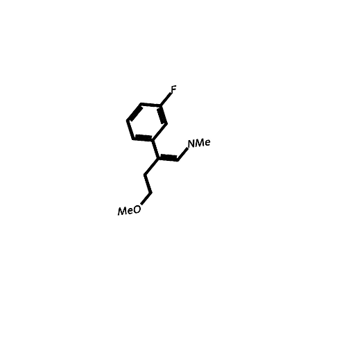 CN/C=C(/CCOC)c1cccc(F)c1